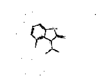 Cc1cccc2c1C(C(C)C)C(=O)N2